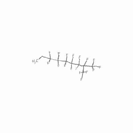 [CH2]CC(F)(F)C(F)(F)C(F)(F)C(F)(F)C(F)(F)C(F)(C(F)(F)F)C(F)(F)F